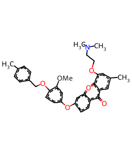 COc1cc(Oc2ccc3c(=O)c4cc(C)cc(OCCN(C)C)c4oc3c2)ccc1OCc1ccc(C)cc1